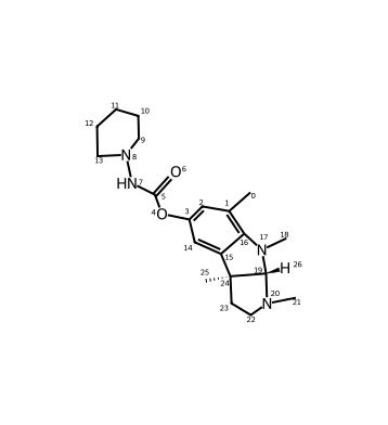 Cc1cc(OC(=O)NN2CCCCC2)cc2c1N(C)[C@@H]1N(C)CC[C@@]21C